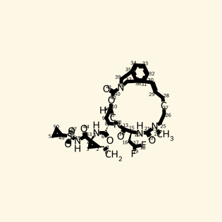 C=C[C@@H]1C[C@]1(NC(=O)[C@@H]1C[C@@H]2CN1C(=O)[C@H](CC(F)F)NC(=O)N(C)CCCC/C=C/c1cccc3c1CN(C3)C(=O)O2)C(=O)NS(=O)(=O)C1CC1